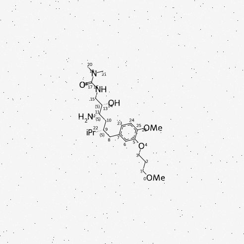 COCCCOc1cc(C[C@@H](C[C@H](N)[C@@H](O)CNC(=O)N(C)C)C(C)C)ccc1OC